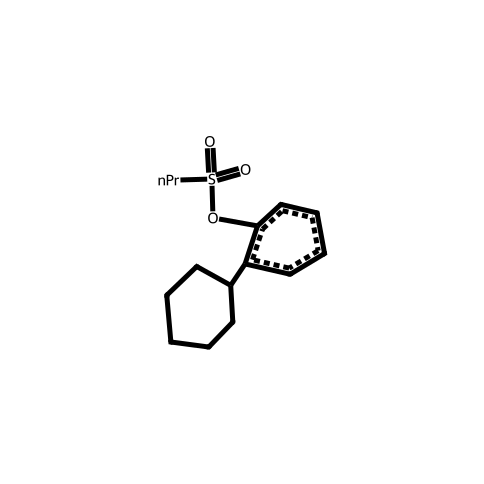 CCCS(=O)(=O)Oc1ccccc1C1CCCCC1